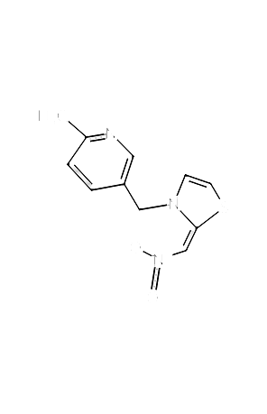 Cc1ccc(CN2C=CS/C2=C/[N+](=O)[O-])cn1